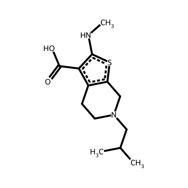 CNc1sc2c(c1C(=O)O)CCN(CC(C)C)C2